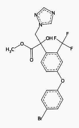 COC(=O)C(O)(Cn1cncn1)c1ccc(Oc2ccc(Br)cc2)cc1C(F)(F)F